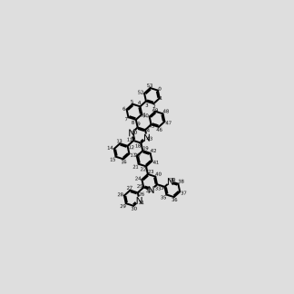 c1ccc(-c2cccc(-c3nc(-c4ccccc4)c(-c4ccc(-c5cc(-c6ccccn6)nc(-c6ccccn6)c5)cc4)nc3-c3ccccc3)c2)cc1